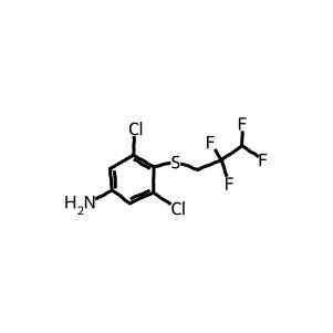 Nc1cc(Cl)c(SCC(F)(F)C(F)F)c(Cl)c1